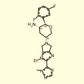 CCn1c(-c2ncnn2C)nc2c1CN([C@H]1CO[C@H](c3cc(F)ccc3F)[C@@H](N)C1)C2